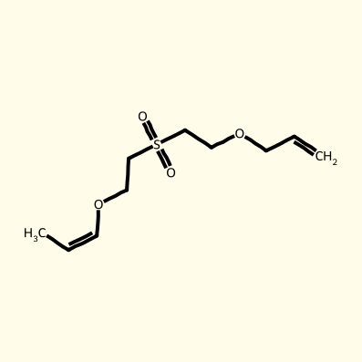 C=CCOCCS(=O)(=O)CCO/C=C\C